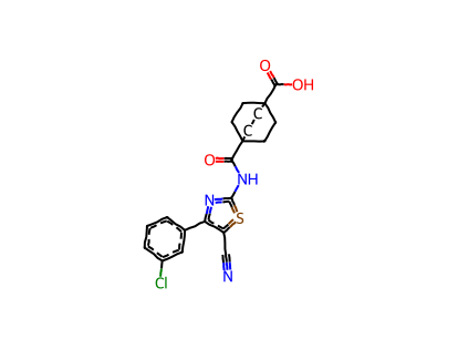 N#Cc1sc(NC(=O)C23CCC(C(=O)O)(CC2)CC3)nc1-c1cccc(Cl)c1